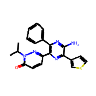 CC(C)n1nc(-c2nc(-c3ccsc3)c(N)nc2-c2ccccc2)ccc1=O